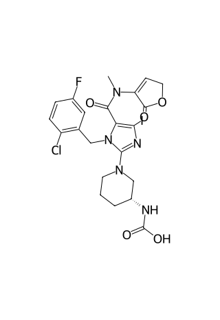 CN(C(=O)c1c(I)nc(N2CCC[C@@H](NC(=O)O)C2)n1Cc1cc(F)ccc1Cl)C1=CCOC1=O